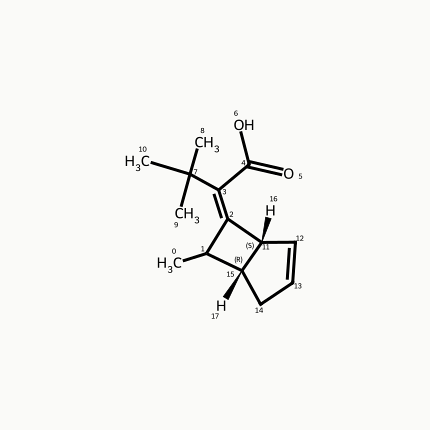 CC1C(=C(C(=O)O)C(C)(C)C)[C@@H]2C=CC[C@H]12